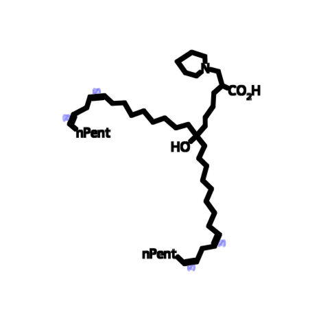 CCCCC/C=C\C/C=C\CCCCCCCCC(O)(CCCCCCCC/C=C\C/C=C\CCCCC)CCCCC(CN1CCCCC1)C(=O)O